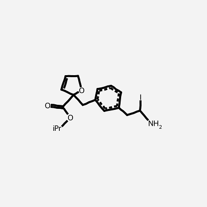 CC(C)OC(=O)C1(Cc2cccc(CC(N)I)c2)C=CCO1